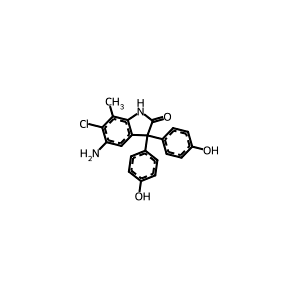 Cc1c(Cl)c(N)cc2c1NC(=O)C2(c1ccc(O)cc1)c1ccc(O)cc1